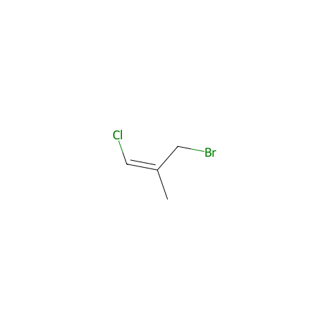 C/C(=C/Cl)CBr